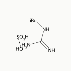 CCC(C)NC(=N)N.O=S(=O)(O)O